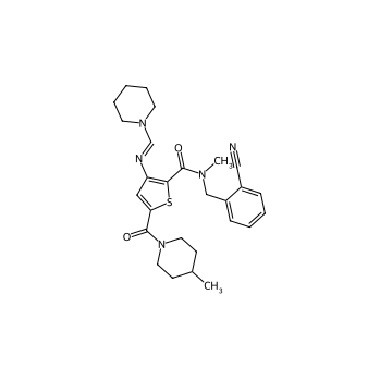 CC1CCN(C(=O)c2cc(/N=C/N3CCCCC3)c(C(=O)N(C)Cc3ccccc3C#N)s2)CC1